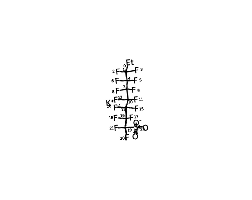 CCC(F)(F)C(F)(F)C(F)(F)C(F)(F)C(F)(F)C(F)(F)C(F)(F)S(=O)(=O)[O-].[K+]